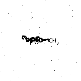 CCCC#Cc1ccc2c(c1)CCN(c1ccc(N3CC[C@@H](N4CCCC4)C3)c(F)c1)C2=O